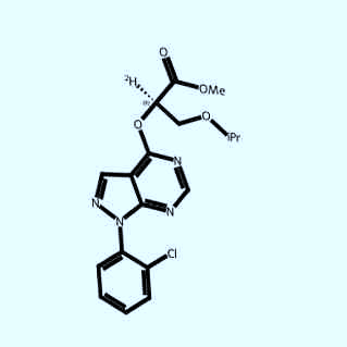 [2H][C@](COC(C)C)(Oc1ncnc2c1cnn2-c1ccccc1Cl)C(=O)OC